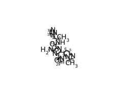 Cc1cnc2ccc(-c3nc(C(=O)NC(C)Cn4ccnn4)c(N)nc3-c3ncco3)cn12